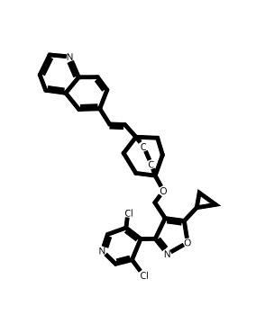 Clc1cncc(Cl)c1-c1noc(C2CC2)c1COC12CCC(/C=C/c3ccc4ncccc4c3)(CC1)CC2